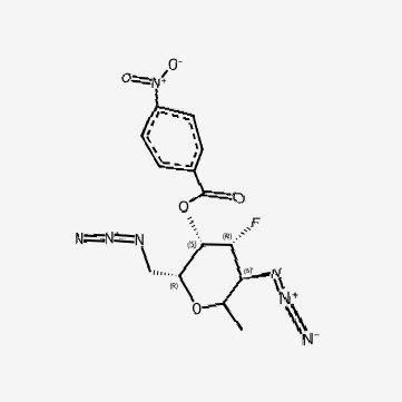 CC1O[C@H](CN=[N+]=[N-])[C@H](OC(=O)c2ccc([N+](=O)[O-])cc2)[C@H](F)[C@H]1N=[N+]=[N-]